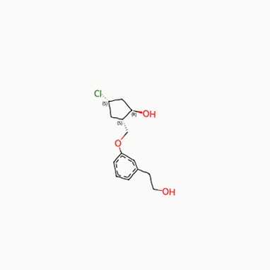 OCCc1cccc(OC[C@@H]2C[C@H](Cl)C[C@H]2O)c1